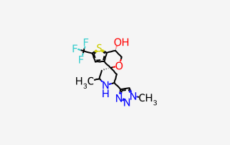 CC1C[C@@]2(CC(c3cn(C)nn3)N1)OC[C@@H](O)c1sc(C(F)(F)F)cc12